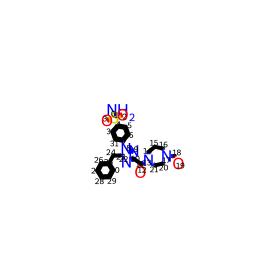 NS(=O)(=O)c1ccc(-n2nc(C(=O)N3CCCN(C=O)CC3)nc2Cc2ccccc2)cc1